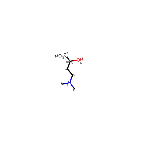 CN(C)CC[C@H](O)C(=O)O